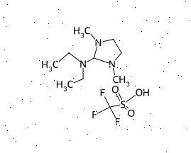 CCN(CC)C1N(C)CCN1C.O=S(=O)(O)C(F)(F)F